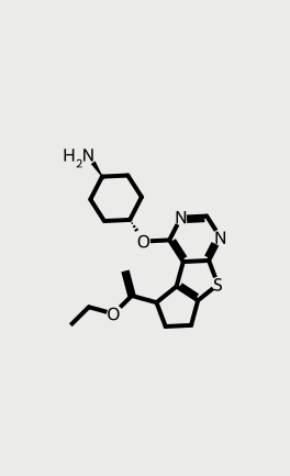 C=C(OCC)C1CCc2sc3ncnc(O[C@H]4CC[C@H](N)CC4)c3c21